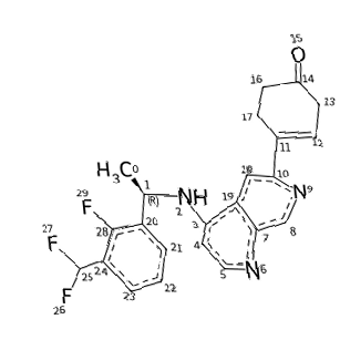 C[C@@H](Nc1ccnc2cnc(C3=CCC(=O)CC3)cc12)c1cccc(C(F)F)c1F